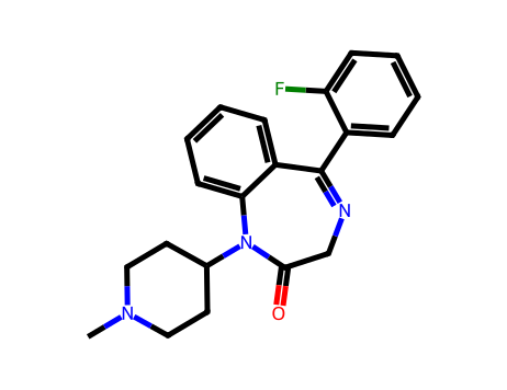 CN1CCC(N2C(=O)CN=C(c3ccccc3F)c3ccccc32)CC1